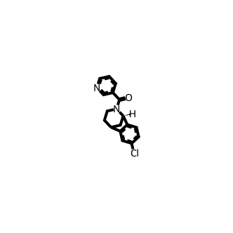 O=C(c1cccnc1)N1CCC2C[C@@H]1c1ccc(Cl)cc12